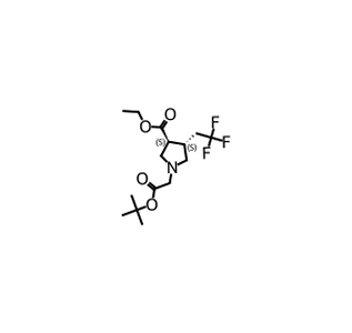 CCOC(=O)[C@@H]1CN(CC(=O)OC(C)(C)C)C[C@H]1CC(F)(F)F